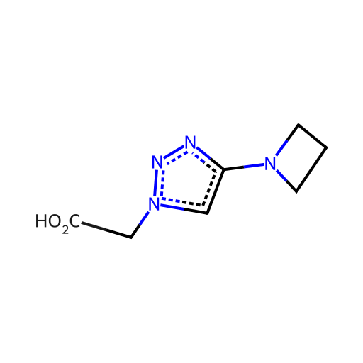 O=C(O)Cn1cc(N2CCC2)nn1